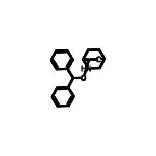 c1ccc(C(OC2CC3CCC2NC3)c2ccccc2)cc1